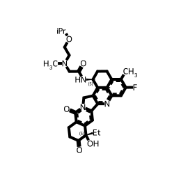 CC[C@@]1(O)C(=O)CCc2c1cc1n(c2=O)Cc2c-1nc1cc(F)c(C)c3c1c2[C@@H](NC(=O)CN(C)CCOC(C)C)CC3